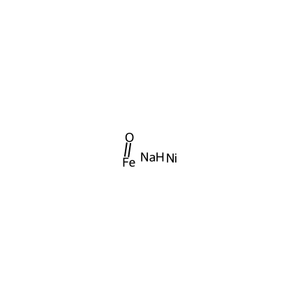 [NaH].[Ni].[O]=[Fe]